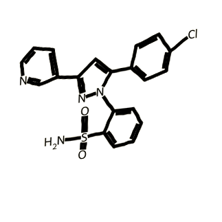 NS(=O)(=O)c1ccccc1-n1nc(-c2cccnc2)cc1-c1ccc(Cl)cc1